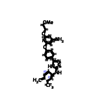 C=C/C=C\C(=C/CC(F)(F)F)Nc1nnc(-c2ccc(Oc3cc(N)nc(OCCOC)n3)cc2)[nH]1